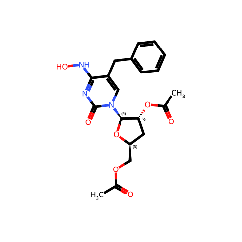 CC(=O)OC[C@@H]1C[C@@H](OC(C)=O)[C@H](n2cc(Cc3ccccc3)c(NO)nc2=O)O1